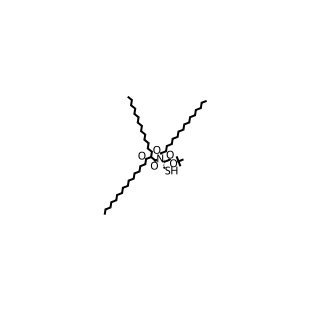 CCCCCCCCCCCCCCCC(=O)C(CCCCCCCCCCCCCC)C(=O)N(C(=O)CCCCCCCCCCCCCCC)[C@@H](CS)C(=O)OC(C)(C)C